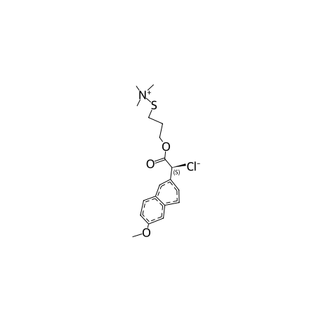 COc1ccc2cc([C@H](C)C(=O)OCCCS[N+](C)(C)C)ccc2c1.[Cl-]